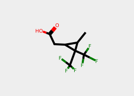 CC1C(CC(=O)O)C1(C(F)(F)F)C(F)(F)F